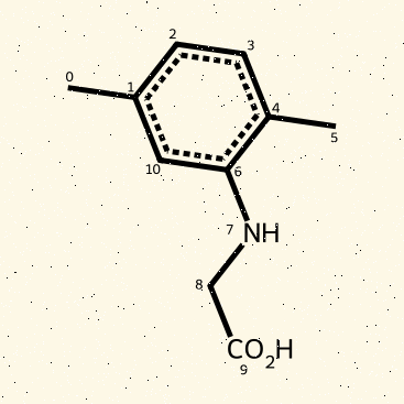 Cc1ccc(C)c(NCC(=O)O)c1